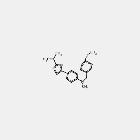 COc1ccc(CN(C)c2ccc(-c3csc(C(C)C)n3)cc2)cc1